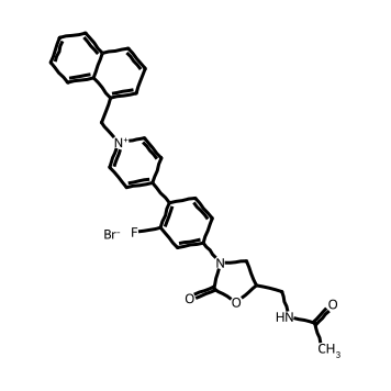 CC(=O)NCC1CN(c2ccc(-c3cc[n+](Cc4cccc5ccccc45)cc3)c(F)c2)C(=O)O1.[Br-]